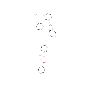 COc1cccc(C(=O)NS(=O)(=O)c2ccc(CNc3ncc4nc(-c5cccc(OC)c5)n(-c5ccccc5)c4n3)cc2)c1